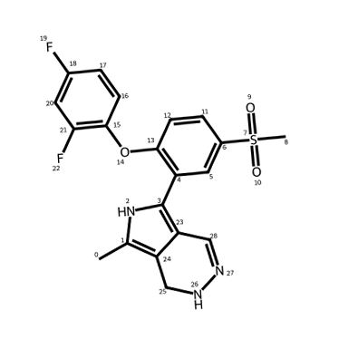 Cc1[nH]c(-c2cc(S(C)(=O)=O)ccc2Oc2ccc(F)cc2F)c2c1CNN=C2